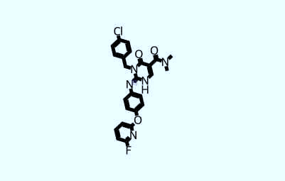 CN(C)C(=O)c1c[nH]/c(=N\c2ccc(Oc3cccc(F)n3)cc2)n(Cc2ccc(Cl)cc2)c1=O